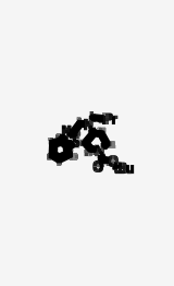 CC(C)CN(Cc1nc2ccccc2s1)C1CCN(C(=O)OC(C)(C)C)CC1